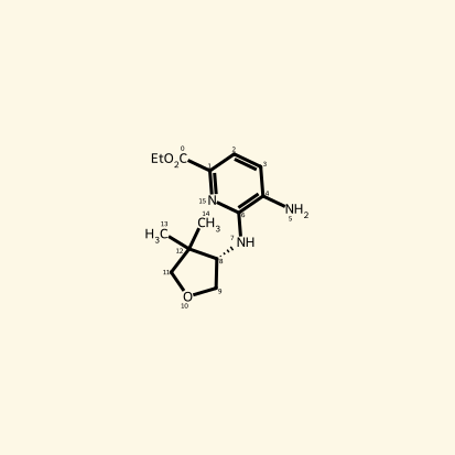 CCOC(=O)c1ccc(N)c(N[C@@H]2COCC2(C)C)n1